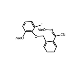 CO/N=C(/C#N)c1ccccc1COc1c(F)cccc1OC